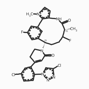 C[C@H]1C(=O)Nc2ccn(C)c2-c2cc(F)cc(c2)[C@@H](N2CCC(c3cc(Cl)ccc3-n3cc(Cl)nn3)=CC2=O)CCC1F